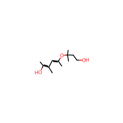 C/C(=C\C(C)=C(/C)O)OC(C)(C)CCO